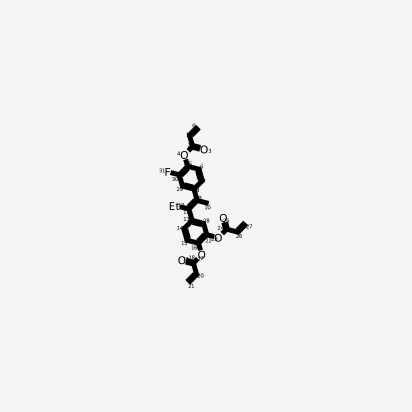 C=CC(=O)Oc1ccc(/C(C)=C(\CC)c2ccc(OC(=O)C=C)c(OC(=O)C=C)c2)cc1F